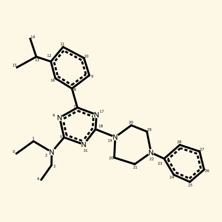 CCN(CC)c1nc(-c2cccc(C(C)C)c2)nc(N2CCN(c3ccccc3)CC2)n1